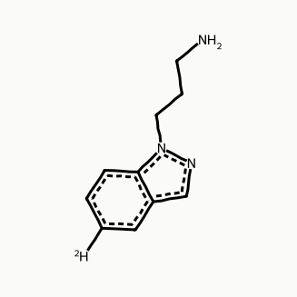 [2H]c1ccc2c(cnn2CCCN)c1